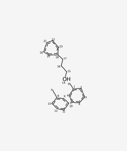 Cc1ccccc1.Cc1ccccc1.OCCCc1ccccc1